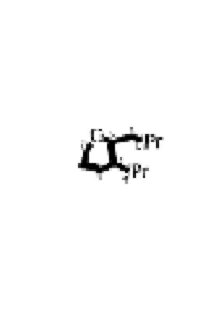 CC(C)CC1=C(C(C)C)C=CCO1